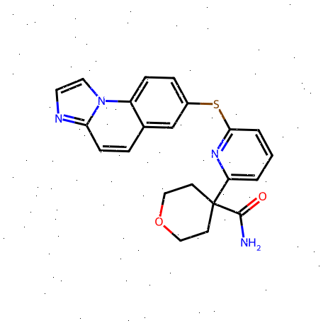 NC(=O)C1(c2cccc(Sc3ccc4c(ccc5nccn54)c3)n2)CCOCC1